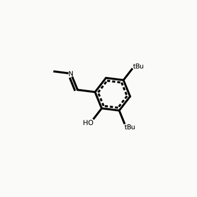 CN=Cc1cc(C(C)(C)C)cc(C(C)(C)C)c1O